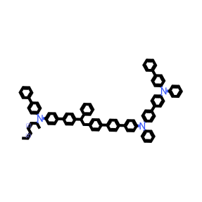 C/C=C\C=C/C(C)N(c1ccc(-c2ccccc2)cc1)c1ccc(-c2ccc(C(Cc3ccc(-c4ccc(-c5ccc(N(c6ccccc6)c6ccc(-c7ccc(N(c8ccccc8)c8ccc(-c9ccccc9)cc8)cc7)cc6)cc5)cc4)cc3)c3ccccc3)cc2)cc1